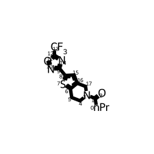 CCCC(=O)N1CCc2sc(-c3noc(C(F)(F)F)n3)cc2C1